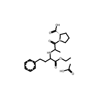 CC(=O)O.CCOC(=O)C(CCc1ccccc1)NC(C)C(=O)N1CCC[C@H]1C(=O)O